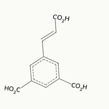 O=C(O)C=Cc1cc(C(=O)O)cc(C(=O)O)c1